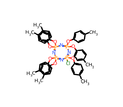 Cc1ccc(OP2(Cl)=NP(Oc3ccc(C)cc3)(Oc3ccc(C)cc3)=NP(Oc3ccc(C)cc3)(Oc3ccc(C)cc3)=NP(Oc3ccc(C)cc3)(Oc3ccc(C)cc3)=N2)cc1